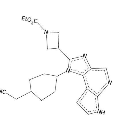 CCOC(=O)N1CC(c2nc3cnc4[nH]ccc4c3n2C2CCC(CC#N)CC2)C1